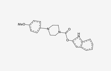 COc1ccc(N2CCN(C(=O)Oc3cc4ccccc4[nH]3)CC2)cc1